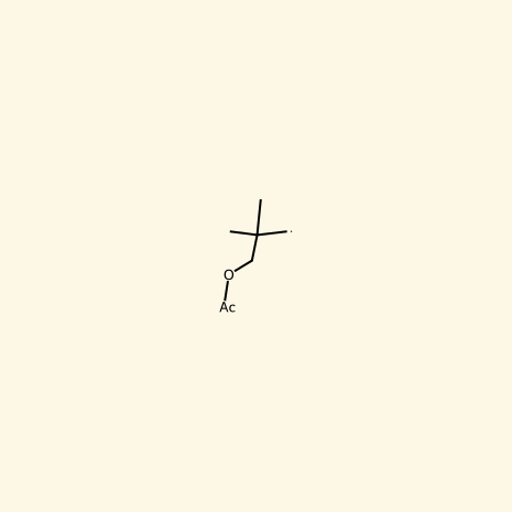 [CH2]C(C)(C)COC(C)=O